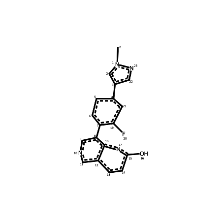 Cn1cc(-c2ccc(-c3cncc4ccc(O)nc34)c(F)c2)cn1